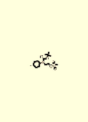 CC(C)(C)OC(=O)N(CCOS(C)(=O)=O)[C@H]1CC[C@H](C)CC1